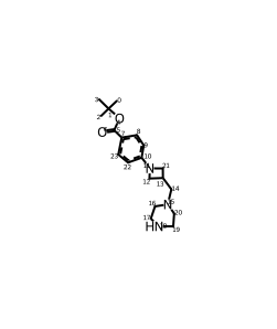 CC(C)(C)OC(=O)c1ccc(N2CC(CN3CCNCC3)C2)cc1